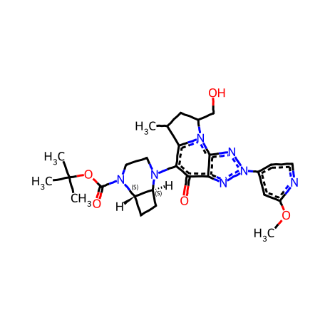 COc1cc(-n2nc3c(=O)c(N4CCN(C(=O)OC(C)(C)C)[C@H]5CC[C@@H]54)c4n(c3n2)C(CO)CC4C)ccn1